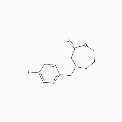 O=C1CC(Cc2ccc(I)cc2)CCCO1